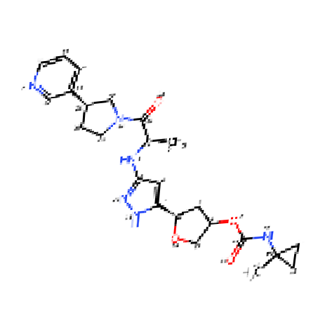 C[C@@H](Nc1cc([C@H]2C[C@@H](OC(=O)NC3(C)CC3)CO2)[nH]n1)C(=O)N1CC[C@@H](c2cccnc2)C1